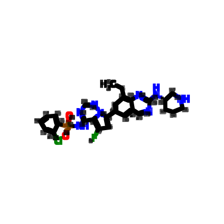 CCc1cc(-c2cc(F)c3c(NS(=O)(=O)c4ccccc4Cl)ncnn23)cc2cnc(N[C@H]3CCCNC3)nc12